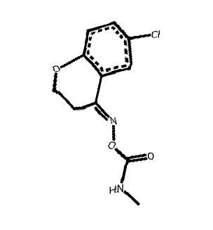 CNC(=O)O/N=C1\CCOc2ccc(Cl)cc21